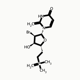 C=C1NC(=O)C=CN1[C@@H]1O[C@H](CCP(=C)(C)C)[C@@H](O)[C@H]1Br